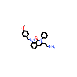 COc1ccc(CNc2cccc3cc(CCN)n(-c4ccccc4)c(=O)c23)cc1